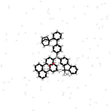 CC1(C)c2ccccc2-c2ccc(N(c3ccc(-c4ccccc4C45CCC(CC4)C5)cc3)c3ccc(-c4cccc5cccc(-c6ccccc6)c45)cc3)cc21